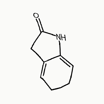 O=C1CC2=CCCC=C2N1